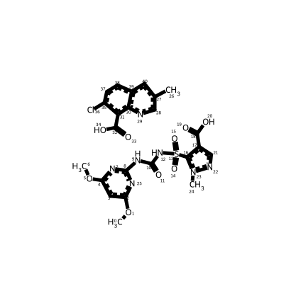 COc1cc(OC)nc(NC(=O)NS(=O)(=O)c2c(C(=O)O)cnn2C)n1.Cc1cnc2c(C(=O)O)c(Cl)ccc2c1